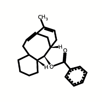 CC1=CC[C@H]2C/C1=C\CC1CCCC[C@H]1[C@@H]2OC(=O)c1ccccc1